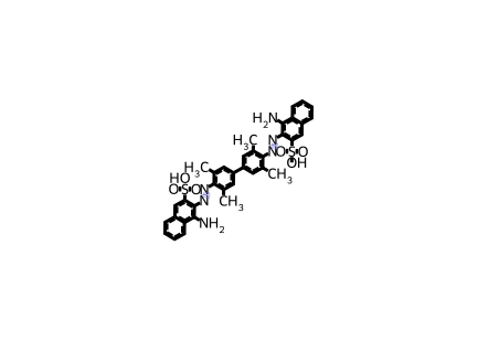 Cc1cc(-c2cc(C)c(/N=N/c3c(S(=O)(=O)O)cc4ccccc4c3N)c(C)c2)cc(C)c1/N=N/c1c(S(=O)(=O)O)cc2ccccc2c1N